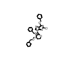 Clc1nc(OCc2ccccc2)c2ncn([C@@H]3O[C@]4(COCc5ccccc5)CCOC3C4OCc3ccccc3)c2n1